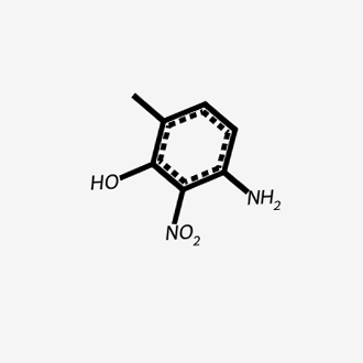 Cc1ccc(N)c([N+](=O)[O-])c1O